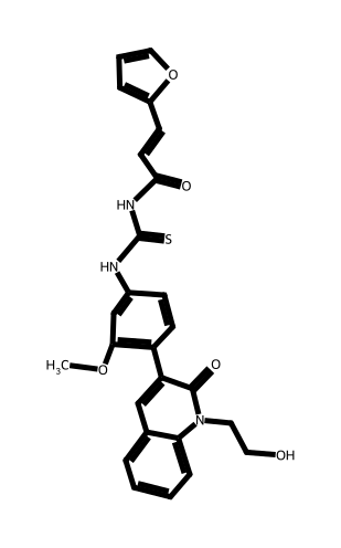 COc1cc(NC(=S)NC(=O)C=Cc2ccco2)ccc1-c1cc2ccccc2n(CCO)c1=O